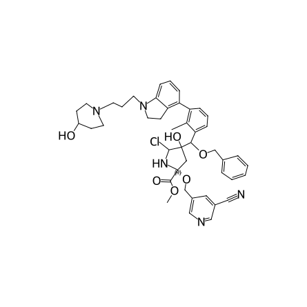 COC(=O)[C@]1(OCc2cncc(C#N)c2)CC(O)(C(OCc2ccccc2)c2cccc(-c3cccc4c3CCN4CCCN3CCC(O)CC3)c2C)C(Cl)N1